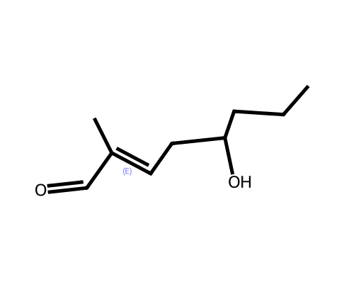 CCCC(O)C/C=C(\C)C=O